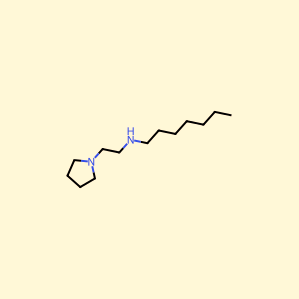 CCCCCCCNCCN1CCCC1